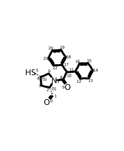 O=C[C@@H]1C[C@H](S)CN1C(=O)C(c1ccccc1)c1ccccc1